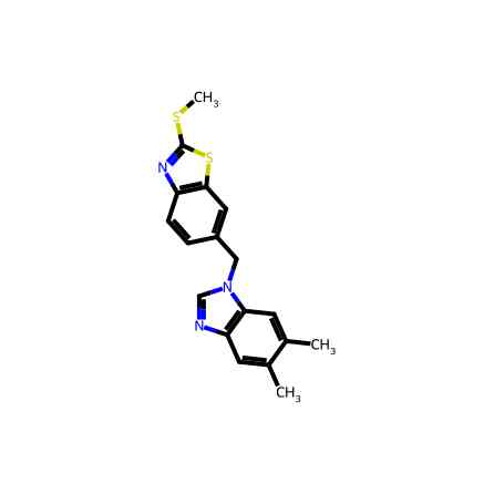 CSc1nc2ccc(Cn3cnc4cc(C)c(C)cc43)cc2s1